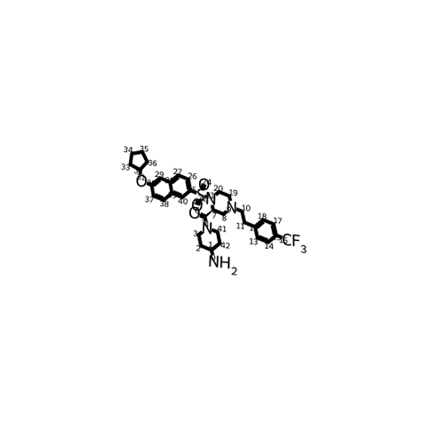 NC1CCN(C(=O)[C@@H]2CN(CCc3ccc(C(F)(F)F)cc3)CCN2S(=O)(=O)c2ccc3cc(OC4CCCC4)ccc3c2)CC1